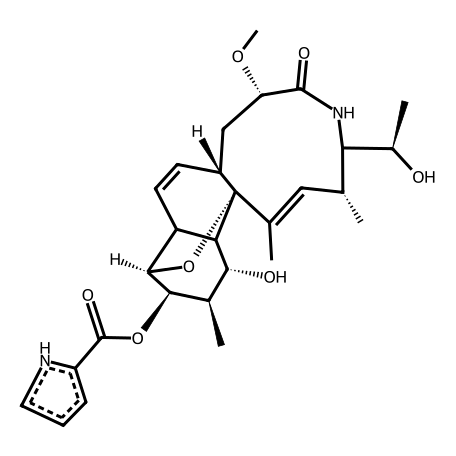 CO[C@H]1C[C@H]2C=CC3C4[C@H](O)[C@@H](C)[C@@H](OC(=O)c5ccc[nH]5)[C@@H]3O[C@]42/C(C)=C/[C@@H](C)C([C@@H](C)O)NC1=O